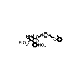 CCOC(=O)C1=C(C)NC(C)=C(C(=O)OCCN2CCN(CCCOc3ccccc3C)CC2)C1c1cccc([N+](=O)[O-])c1